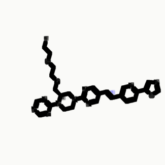 FCCOCCOC[C@H]1CN(c2ncc(/C=C/c3ccc(-c4cnco4)nc3)cn2)CCN1c1ncncn1